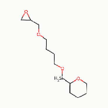 C(CCO[SiH2]C1CCCCO1)COCC1CO1